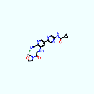 N#Cc1ncc(-c2cnc(NC(=O)C3CC3)cn2)cc1NCC(=O)N1CCO[C@@H]1F